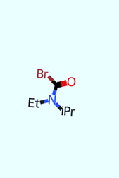 CCN(C(=O)Br)C(C)C